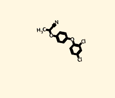 CC(C#N)Oc1ccc(Oc2ccc(Cl)cc2Cl)cc1